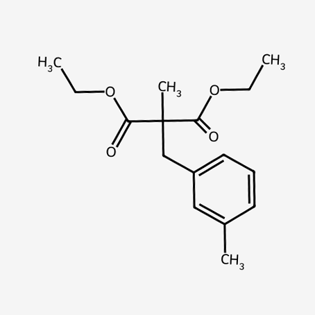 CCOC(=O)C(C)(Cc1cccc(C)c1)C(=O)OCC